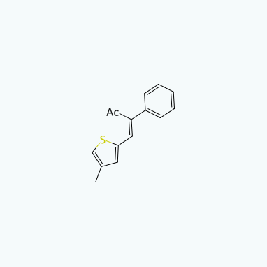 CC(=O)C(=Cc1cc(C)cs1)c1ccccc1